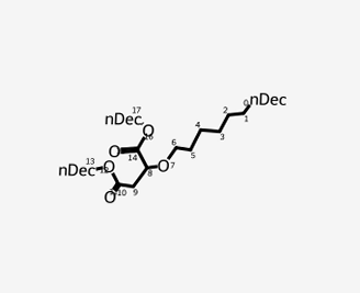 CCCCCCCCCCCCCCCCOC(CC(=O)OCCCCCCCCCC)C(=O)OCCCCCCCCCC